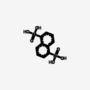 O=[As](O)(O)c1cccc2c([As](=O)(O)O)cccc12